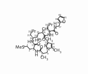 CSCC[C@H](NC(=O)[C@@H](C)Cn1nc(C)cc1C)C(=O)N[C@@H](CC(C)C)[C@@H](O)C[C@@H](C)C(=O)N[C@@H](CC(C)C)C(=O)NCc1ccco1